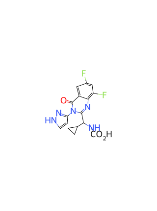 O=C(O)NC(c1nc2c(F)cc(F)cc2c(=O)n1-c1cc[nH]n1)C1CC1